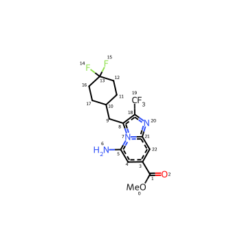 COC(=O)c1cc(N)n2c(CC3CCC(F)(F)CC3)c(C(F)(F)F)nc2c1